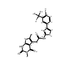 Cc1sc2[nH]c(=O)n(C)c(=O)c2c1CC(=O)Nc1nc(-c2ccc(F)c(C(F)(F)F)c2)cs1